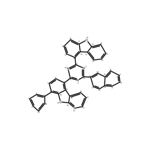 c1ccc(-c2ccc(-c3nc(-c4ccc5ccccc5c4)nc(-c4cccc5oc6ccccc6c45)n3)c3c2oc2ncccc23)cc1